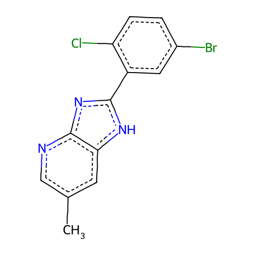 Cc1cnc2nc(-c3cc(Br)ccc3Cl)[nH]c2c1